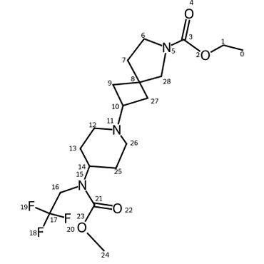 CCOC(=O)N1CCC2(CC(N3CCC(N(CC(F)(F)F)C(=O)OC)CC3)C2)C1